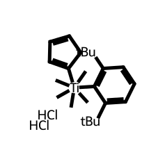 CC(C)(C)c1cccc(C(C)(C)C)[c]1[Ti]([CH3])([CH3])([CH3])([CH3])([CH3])[C]1=CC=CC1.Cl.Cl